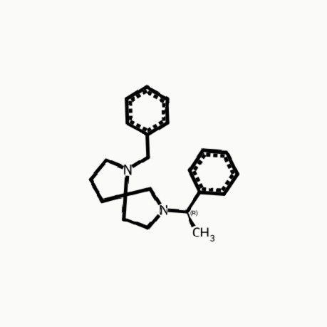 C[C@H](c1ccccc1)N1CCC2(CCCN2Cc2ccccc2)C1